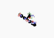 CS(=O)(=O)N1CCC(C2CCN(C(=O)[C@H](CC(=O)N3CCC(N4CCc5ccccc5NC4=O)CC3)Cc3cc(Cl)c(N)c(C(F)(F)F)c3)CC2)CC1